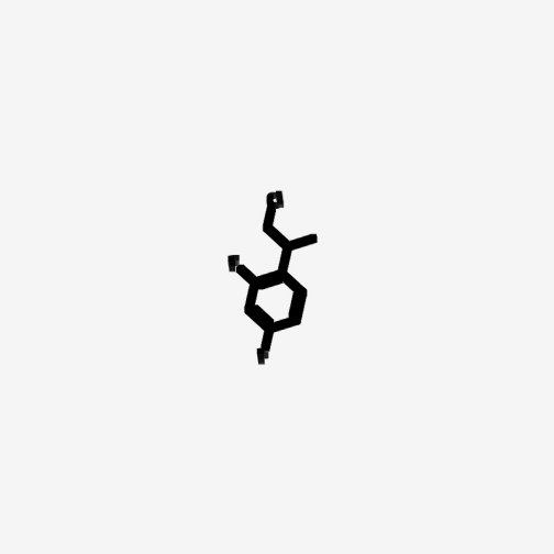 CC(CCl)c1ccc(F)cc1F